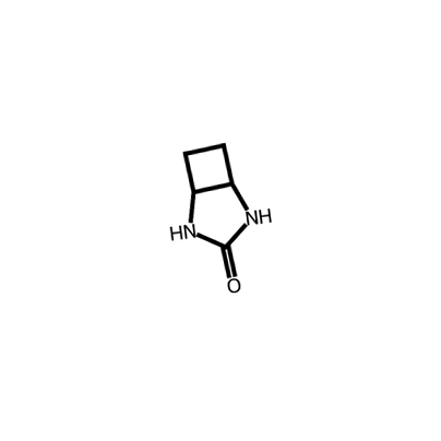 O=C1NC2CCC2N1